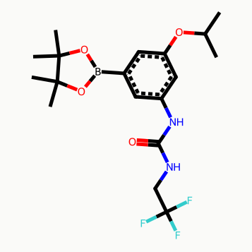 CC(C)Oc1cc(NC(=O)NCC(F)(F)F)cc(B2OC(C)(C)C(C)(C)O2)c1